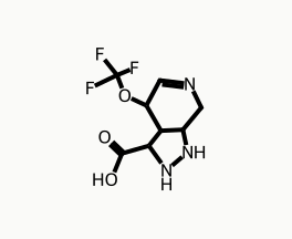 O=C(O)C1NNC2CN=CC(OC(F)(F)F)C21